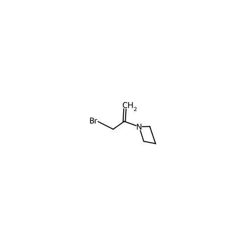 C=C(CBr)N1CCC1